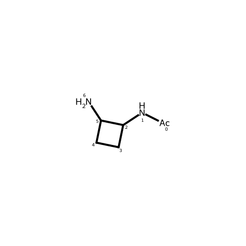 CC(=O)NC1CCC1N